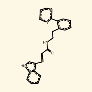 O=C(/C=C/c1c[nH]c2ccccc12)NCCc1ccccc1-c1ncccn1